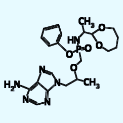 CC(Cn1cnc2c(N)ncnc21)OCP(=O)(NC(C)C1OCCCCO1)Oc1ccccc1